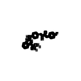 CN(C)c1nc(N[C@H]2CC[C@@H](CNC(=O)Cc3ccc(F)cc3)CC2)nc2ccccc12